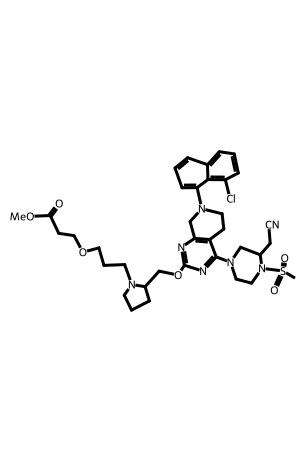 COC(=O)CCOCCCN1CCCC1COc1nc2c(c(N3CCN(S(C)(=O)=O)C(CC#N)C3)n1)CCN(c1cccc3cccc(Cl)c13)C2